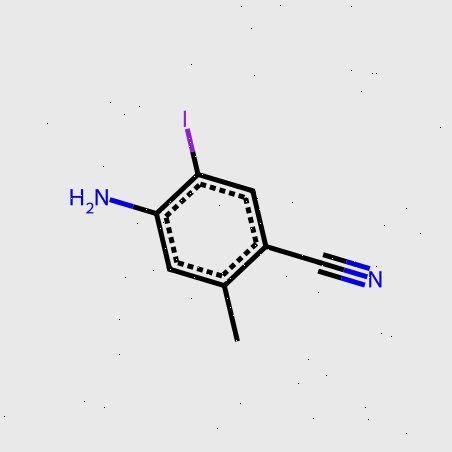 Cc1cc(N)c(I)cc1C#N